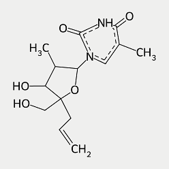 C=CCC1(CO)OC(n2cc(C)c(=O)[nH]c2=O)C(C)C1O